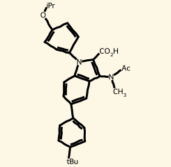 CC(=O)N(C)c1c(C(=O)O)n(-c2ccc(OC(C)C)cc2)c2ccc(-c3ccc(C(C)(C)C)cc3)cc12